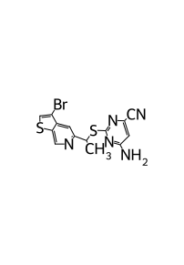 CC(Sc1nc(N)cc(C#N)n1)c1cc2c(Br)csc2cn1